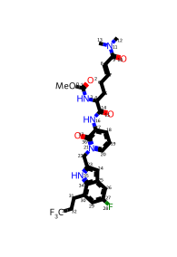 COC(=O)NC(CCC=CC(=O)N(C)C)C(=O)Nc1cccn(Cc2cc3cc(F)cc(CCC(F)(F)F)c3[nH]2)c1=O